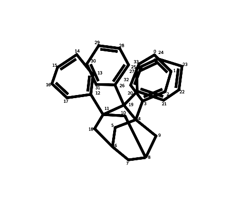 c1ccc(C23CC4CC(C2)CC(c2ccccc2)(C4)C3(c2ccccc2)c2ccccc2)cc1